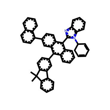 CC1(C)c2ccccc2-c2cc(-c3c4ccccc4c(-c4nc5ccccc5n4C4C=CC=CC4)c4ccc(-c5cccc6ccccc56)cc34)ccc21